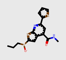 CCC[S+]([O-])c1cc2c(C(=O)NC)cc(-c3cccs3)nc2s1